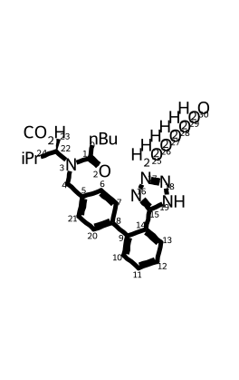 CCCCC(=O)N(Cc1ccc(-c2ccccc2-c2nnn[nH]2)cc1)[C@H](C(=O)O)C(C)C.O.O.O.O.O.O